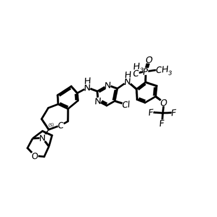 CP(C)(=O)c1cc(OC(F)(F)F)ccc1Nc1nc(Nc2ccc3c(c2)CC[C@@H](N2C4CCC2COC4)CC3)ncc1Cl